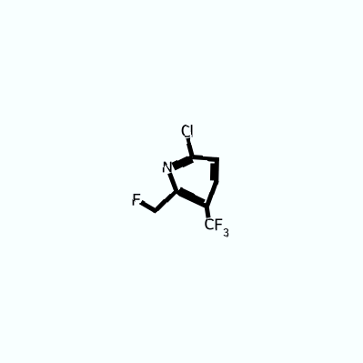 FCc1nc(Cl)ccc1C(F)(F)F